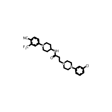 N#Cc1ccc(N2CCC(NC(=O)CCN3CCN(c4cccc(Cl)c4)CC3)CC2)cc1C(F)(F)F